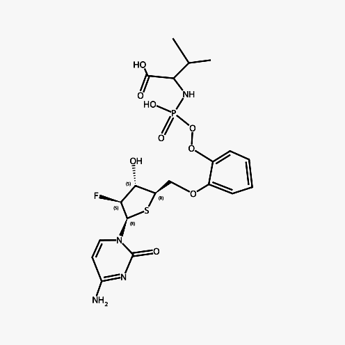 CC(C)C(NP(=O)(O)OOc1ccccc1OC[C@H]1S[C@@H](n2ccc(N)nc2=O)[C@@H](F)[C@@H]1O)C(=O)O